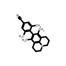 Cc1cc(C#N)cc(C)c1-c1c(C)c2c3c(c1C)CCCN3CCC2